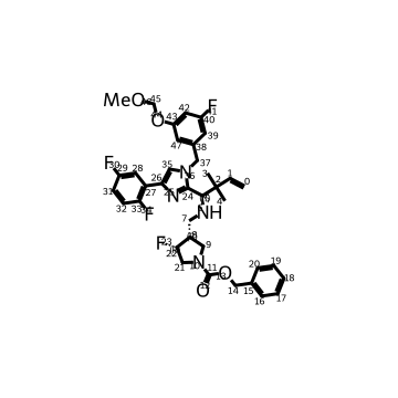 C=CC(C)(C)[C@@H](NC[C@@H]1CN(C(=O)OCc2ccccc2)C[C@@H]1F)c1nc(-c2cc(F)ccc2F)cn1Cc1cc(F)cc(OCOC)c1